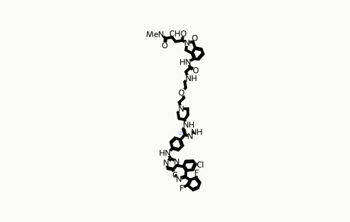 CNC(=O)CCC(C=O)N1Cc2c(NC(=O)CNCCOCCN3CCC(N/C=C(\N=N)c4ccc(Nc5ncc6c(n5)-c5ccc(Cl)cc5C(c5c(F)cccc5F)=NC6)cc4)CC3)cccc2C1=O